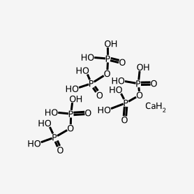 O=P(O)(O)OP(=O)(O)O.O=P(O)(O)OP(=O)(O)O.O=P(O)(O)OP(=O)(O)O.[CaH2]